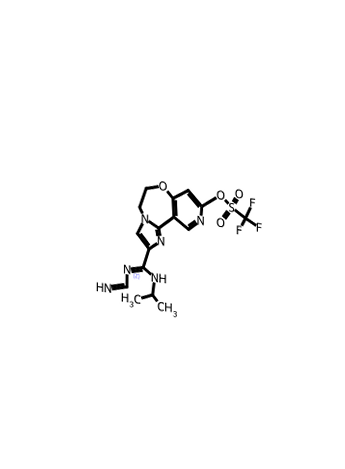 CC(C)N/C(=N\C=N)c1cn2c(n1)-c1cnc(OS(=O)(=O)C(F)(F)F)cc1OCC2